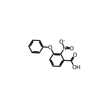 O=C(O)c1cccc(Oc2ccccc2)c1[N+](=O)[O-]